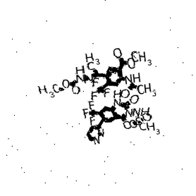 CCOC(=O)NN=C(C)c1cc(C(=O)OC)c(NC(C)=O)cc1C(F)(F)F.CS(=O)(=O)Nn1c(=O)[nH]c2cc(C(F)(F)F)c(-c3cccnn3)cc2c1=O